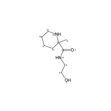 CC1(C(=O)NCCO)CCCCN1